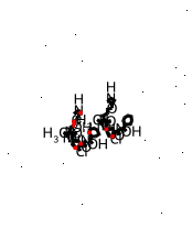 Cc1nn(-c2ccc(Cl)c(C(=O)NC(O)C3CCCCCC3)c2)c(=O)n1CC(O)COC1CNC1.Cc1nn(-c2ccc(Cl)c(C(=O)NC(O)C3CCCCCC3)c2)c(=O)n1CCCOC1CNC1